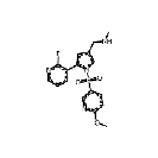 CNCc1cc(-c2cccnc2F)n(S(=O)(=O)c2ccc(OC)nc2)c1